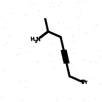 CC(C)CC#CCC(C)N